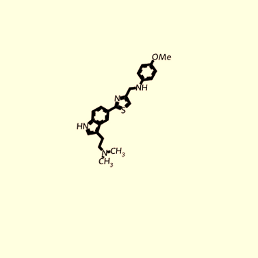 COc1ccc(NCc2csc(-c3ccc4[nH]cc(CCN(C)C)c4c3)n2)cc1